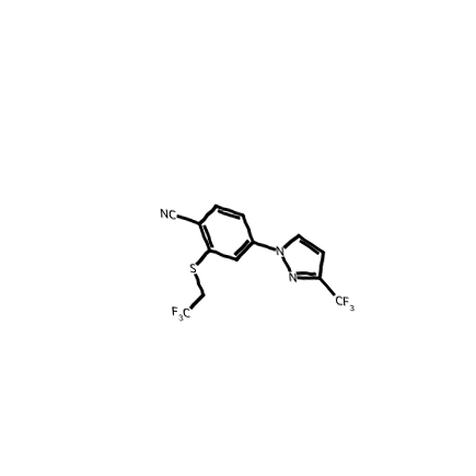 N#Cc1ccc(-n2ccc(C(F)(F)F)n2)cc1SCC(F)(F)F